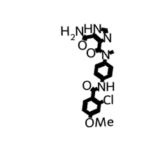 COc1ccc(C(=O)Nc2ccc(N(C)C(=O)c3nc[nH]c3C(N)=O)cc2)c(Cl)c1